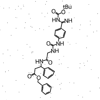 CC(C)(C)OC(=O)NC(=N)c1ccc(NC(=O)NCC(=O)NC(CC(=O)OCc2ccccc2)c2ccccc2)cc1